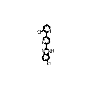 Clc1ccc2nc(-c3ccc(-c4ncccc4Cl)cn3)[nH]c2c1